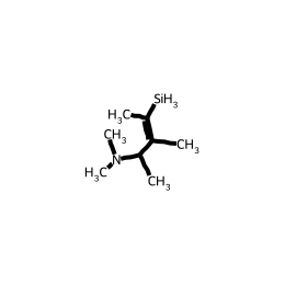 CC([SiH3])=C(C)C(C)N(C)C